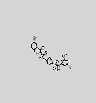 COc1cc(NS(=O)(=O)c2ccc(NC(=S)NC(=O)c3cc(Br)ccc3C)cc2)nc(OC)n1